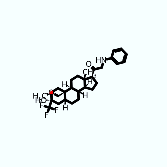 COC[C@]12CC[C@](O)(C(F)(F)F)C[C@H]1CC[C@H]1[C@@H]3CC[C@H](C(=O)CNc4ccccc4)[C@@]3(C)CC[C@@H]12